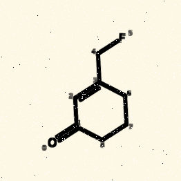 O=C1C=C(CF)CCC1